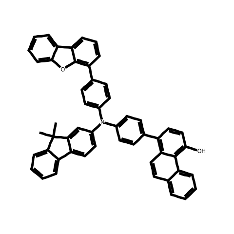 CC1(C)c2ccccc2-c2ccc(N(c3ccc(-c4ccc(O)c5c4ccc4ccccc45)cc3)c3ccc(-c4cccc5c4oc4ccccc45)cc3)cc21